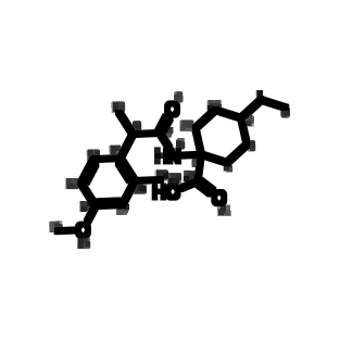 CCC1CCC(NC(=O)C(C)c2ccc(OC)cc2C)(C(=O)O)CC1